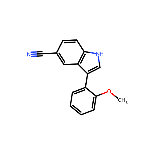 COc1ccccc1-c1c[nH]c2ccc(C#N)cc12